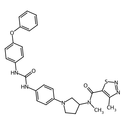 Cc1nnsc1C(=O)N(C)C1CCN(c2ccc(NC(=O)Nc3ccc(Oc4ccccc4)cc3)cc2)C1